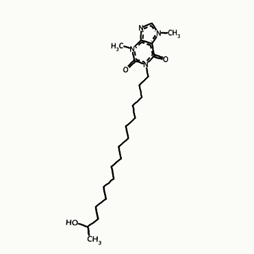 CC(O)CCCCCCCCCCCCCCCn1c(=O)c2c(ncn2C)n(C)c1=O